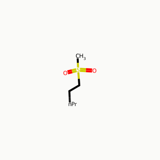 [CH2]CCCCS(C)(=O)=O